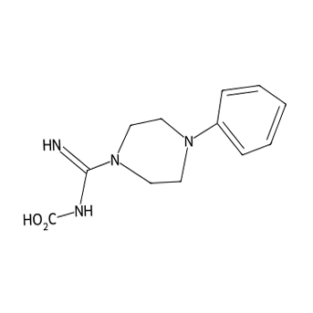 N=C(NC(=O)O)N1CCN(c2ccccc2)CC1